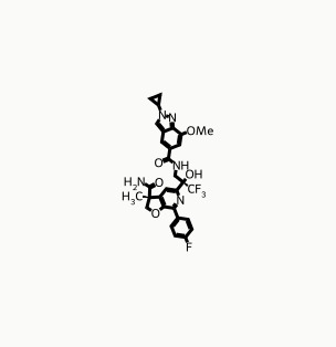 COc1cc(C(=O)NC[C@](O)(c2cc3c(c(-c4ccc(F)cc4)n2)OC[C@]3(C)C(N)=O)C(F)(F)F)cc2cn(C3CC3)nc12